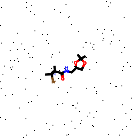 C/C(Br)=C(\C)C(=O)NCC1COC(C)(C)O1